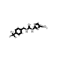 O=C(NCc1ccc(C(F)(F)I)cc1)Nc1ncc([N+](=O)[O-])s1